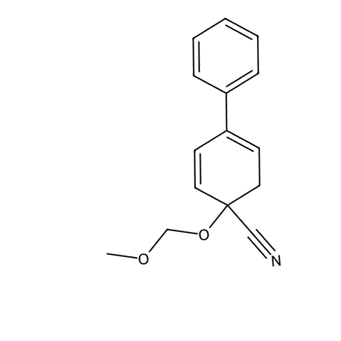 COCOC1(C#N)C=CC(c2ccccc2)=CC1